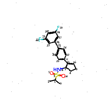 CC(C)S(=O)(=O)NC1CCC=C1c1ccc(-c2cc(F)cc(F)c2)cc1